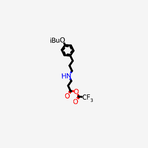 CC(C)COc1ccc(CCCNCCC(=O)OC(=O)C(F)(F)F)cc1